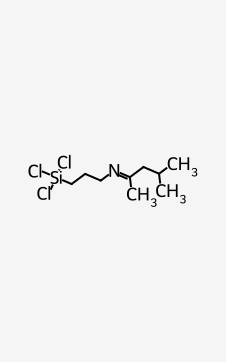 C/C(CC(C)C)=N\CCC[Si](Cl)(Cl)Cl